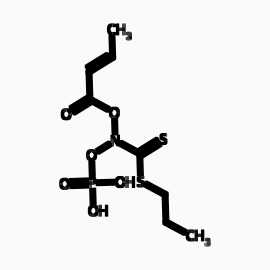 CC=CC(=O)ON(OP(=O)(O)O)C(=S)SCCC